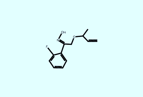 C=CC(C)OCC(=NO)c1ccccc1F